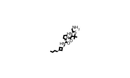 CCCC[C@H]1C[C@H](CNC(=O)[C@H]2CCCN2C(=O)[C@@H](NC(=S)CN)C(C)(C)C)C1